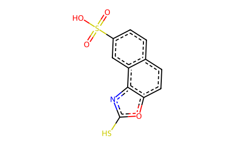 O=S(=O)(O)c1ccc2ccc3oc(S)nc3c2c1